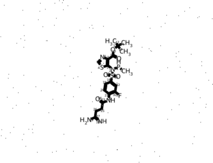 CPN(c1scnc1C(=O)OC(C)(C)C)S(=O)(=O)c1ccc(NC(=O)CCC(=N)N)c(F)c1